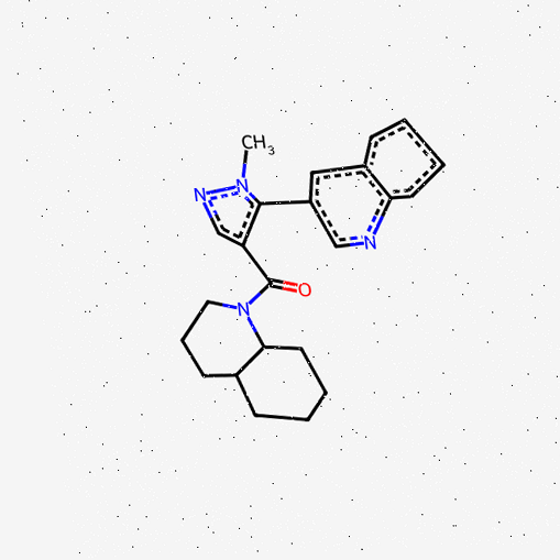 Cn1ncc(C(=O)N2CCCC3CCCCC32)c1-c1cnc2ccccc2c1